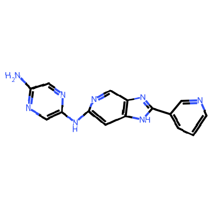 Nc1cnc(Nc2cc3[nH]c(-c4cccnc4)nc3cn2)cn1